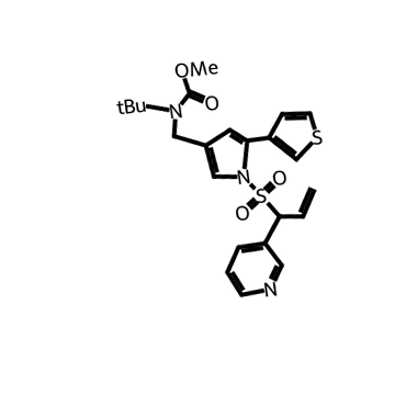 C=CC(c1cccnc1)S(=O)(=O)n1cc(CN(C(=O)OC)C(C)(C)C)cc1-c1ccsc1